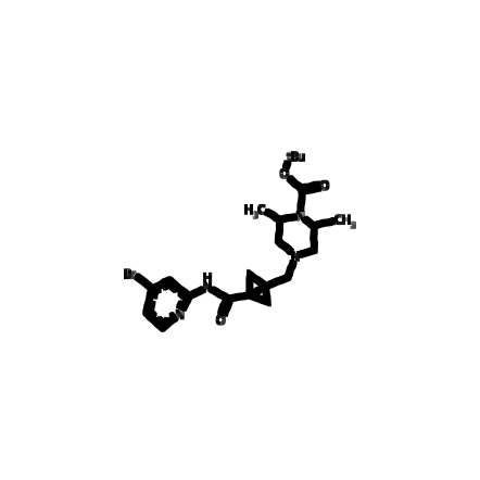 CC1CN(CC23CC2(C(=O)Nc2cc(Br)ccn2)C3)CC(C)N1C(=O)OC(C)(C)C